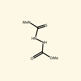 CNC(=S)NNC(=O)OC